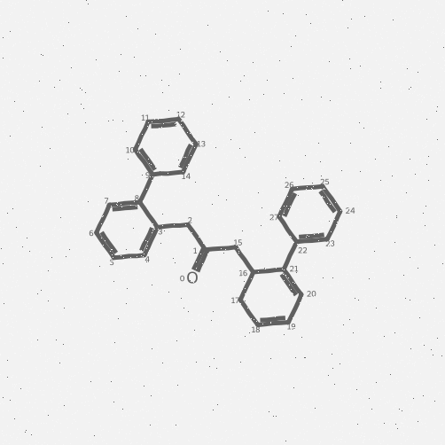 O=C(Cc1ccccc1-c1ccccc1)CC1CC=CC=C1c1ccccc1